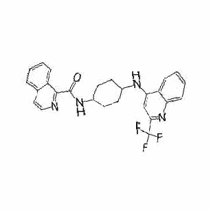 O=C(NC1CCC(Nc2cc(C(F)(F)F)nc3ccccc23)CC1)c1nccc2ccccc12